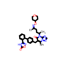 CCCc1c(Cc2ccc(-c3ccccc3-c3noc(=O)[nH]3)cc2)c(=O)n(C(C)CC/C(CC)=N\OC2CCOCC2)c2ncnn12